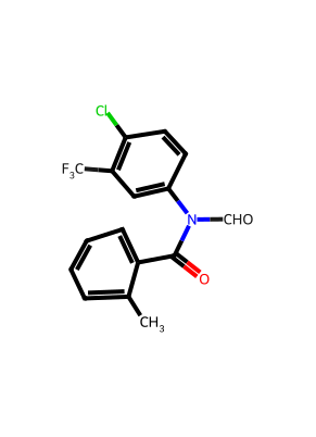 Cc1ccccc1C(=O)N(C=O)c1ccc(Cl)c(C(F)(F)F)c1